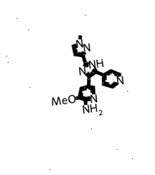 COc1cc(-c2nc(-c3ccn(C)n3)[nH]c2-c2ccncc2)cnc1N